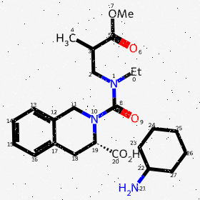 CCN(CC(C)C(=O)OC)C(=O)N1Cc2ccccc2C[C@H]1C(=O)O.NC1CCCCC1